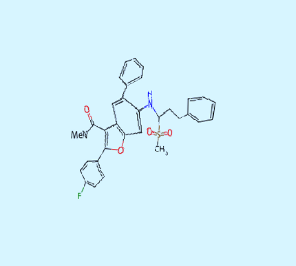 CNC(=O)c1c(-c2ccc(F)cc2)oc2cc(NC(CCc3ccccc3)S(C)(=O)=O)c(-c3ccccc3)cc12